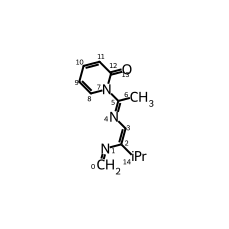 C=N/C(=C\N=C(/C)n1ccccc1=O)C(C)C